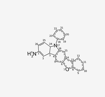 NC1=CC2c3cc4oc5ccccc5c4cc3N(c3ccccc3)C2C=C1